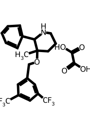 CC1(OCc2cc(C(F)(F)F)cc(C(F)(F)F)c2)CCCNC1c1ccccc1.O=C(O)C(=O)O